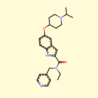 CCN(Cc1ccncc1)C(=O)c1cc2cc(OC3CCN(C(C)C)CC3)ccc2[nH]1